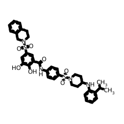 CC(C)c1ccccc1NC1CCN(S(=O)(=O)c2ccc(NC(=O)c3cc(S(=O)(=O)N4CCc5ccccc5C4)cc(O)c3O)cc2)CC1